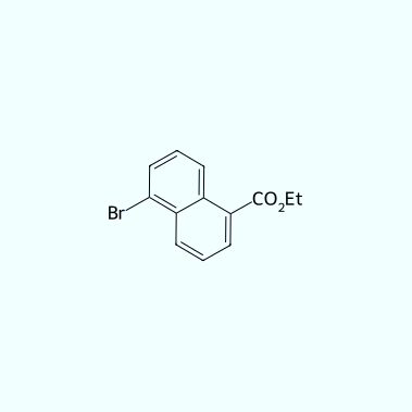 CCOC(=O)c1cccc2c(Br)cccc12